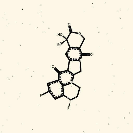 CC[C@@]1(O)C(=O)OCc2c1cc1n(c2=O)Cc2c-1c(=O)c1cc(F)cc3c1n2CC[C@@H]3F